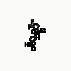 CCC(NC(=O)c1ccc2c(c1)CC(=O)N2)c1ccc(F)c(F)c1